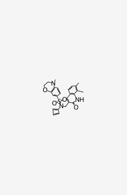 Cc1ccc2cc(CN(C3=CC=C3)S(=O)(=O)c3ccc4c(c3)OCCN4C)c(=O)[nH]c2c1C